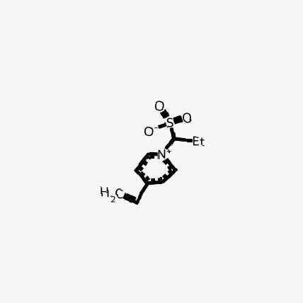 C=Cc1cc[n+](C(CC)S(=O)(=O)[O-])cc1